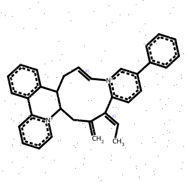 C=C1CC2C(C/C=C/[n+]3cc(-c4ccccc4)ccc3/C1=C/C)c1ccccc1-c1cccc[n+]12